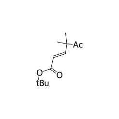 CC(=O)C(C)(C)/C=C/C(=O)OC(C)(C)C